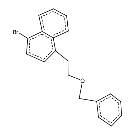 Brc1ccc(CCOCc2ccccc2)c2ccccc12